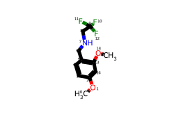 COc1ccc(CNCC(F)(F)F)c(OC)c1